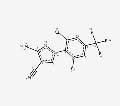 N#Cc1cn(-c2c(Cl)cc(C(F)(F)F)cc2Cl)nc1N